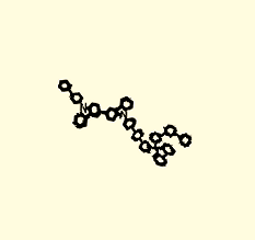 c1ccc(-c2ccc(-n3c4ccccc4c4cc(-c5ccc6c(c5)c5ccccc5n6-c5ccc(-c6ccc(-c7cccc(C8(c9cccc(-c%10cccc(-c%11ccccc%11)c%10)c9)c9ccccc9-c9ccccc98)c7)cc6)cc5)ccc43)cc2)cc1